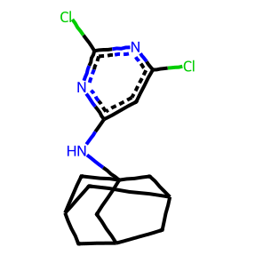 Clc1cc(NC23CC4CC(CC(C4)C2)C3)nc(Cl)n1